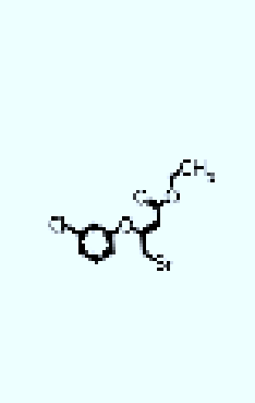 CCOC(=O)/C=C(/CBr)Oc1cccc(Cl)c1